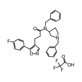 O=C(CCc1cnoc1-c1ccc(F)cc1)N(Cc1ccccc1)C1CCN(Cc2ccccc2)C1.O=C(O)C(F)(F)F